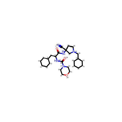 N#CC1(NC(=O)C(CC2CCCCC2)NC(=O)N2CCOCC2)CCN(CC2CCCCC2)C1